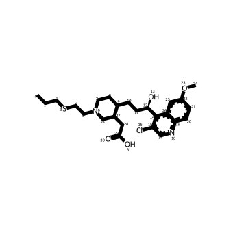 CCCSCCN1CCC(CC[C@@H](O)c2c(Cl)cnc3ccc(OC)cc23)C(CC(=O)O)C1